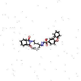 O=C(O)C(CCCN1C(=O)c2ccccc2C1=O)NCS(=O)(=O)c1ccc2oc3ccccc3c2c1